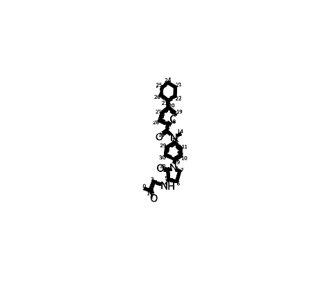 CC(=O)CNC1CCN(c2ccc(N(C)C(=O)c3ccc(C4CCCCC4)cc3)cc2)C1=O